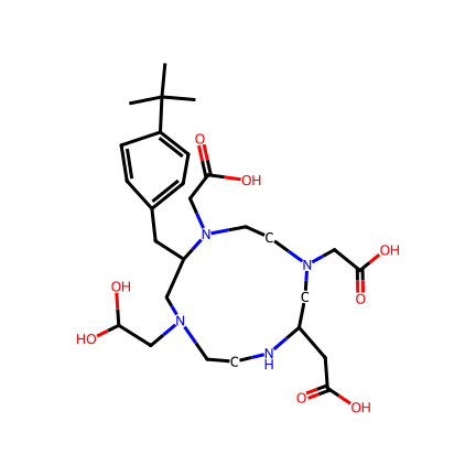 CC(C)(C)c1ccc(CC2CN(CC(O)O)CCNC(CC(=O)O)CN(CC(=O)O)CCN2CC(=O)O)cc1